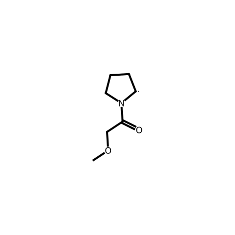 COCC(=O)N1[CH]CCC1